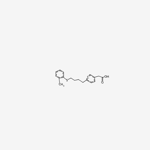 Cc1ccccc1SCCCCc1ccc(CC(=O)O)cc1